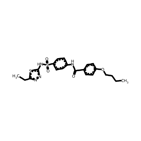 CCCCOc1ccc(C(=O)Nc2ccc(S(=O)(=O)Nc3nnc(CC)s3)cc2)cc1